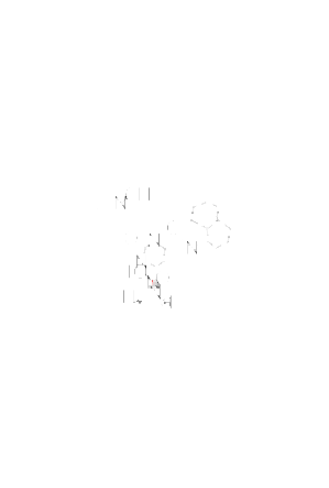 CN1CCCC1COc1nc2c(c(N3C[C@H]4CC[C@@H](C3)N4C(=O)O)n1)CCN(c1cccc3cccc(Cl)c13)C2